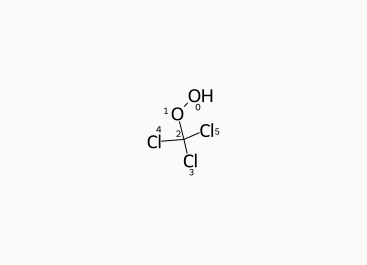 OOC(Cl)(Cl)Cl